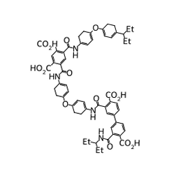 CCC(CC)NC(=O)c1cc(-c2ccc(C(=O)O)c(C(=O)NC3=CC=C(OC4=CC=C(NC(=O)c5cc(C(=O)NC6=CC=C(OC7=CC=C(C(CC)CC)CC7)CC6)c(C(=O)O)cc5C(=O)O)CC4)CC3)c2)ccc1C(=O)O